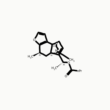 CCCC(=O)O[C@H](C)C1=CC[C@@]23OCCN(C)C[C@@]12C[C@@H](C)c1occc13